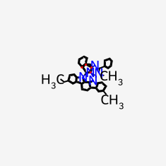 CCc1ccc2c(c1)c1ccc3c4cc(CC)ccc4n(C4N=C(c5ccccc5)N=C(c5ccccc5)N4C)c3c1n2-c1ccccc1